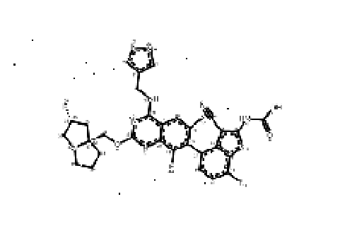 N#Cc1c(NC(=O)O)sc2c(F)ccc(-c3c(F)cc4c(NCc5cn[nH]c5)nc(OC[C@@]56CCCN5C[C@H](F)C6)nc4c3F)c12